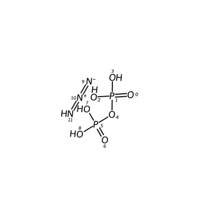 O=P(O)(O)OP(=O)(O)O.[N-]=[N+]=N